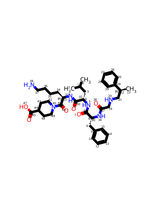 CC(C)C[C@H](NC(=O)[C@@H](Cc1ccccc1)NC(=O)CNC[C@H](C)c1ccccc1)C(=O)N[C@H](CCCCN)C(=O)N1CCC(C(=O)O)CC1